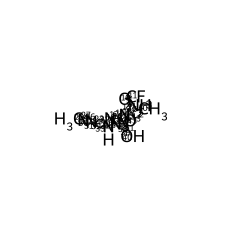 Cc1cccc2c1NC(C(=O)C(F)(F)F)C[C@@H]2N1Cc2cnc(Nc3ccc(N4CCN(C)CC4)cc3)nc2N(C2CC(O)C2)C1=O